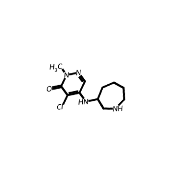 Cn1ncc(NC2CCCCNC2)c(Cl)c1=O